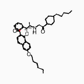 CCCCCCOc1ccc2c(O[C@H](c3ccccc3)[C@@H](C)NCC(=O)C3CCC(CCCCC)CC3)c(C=O)ccc2c1